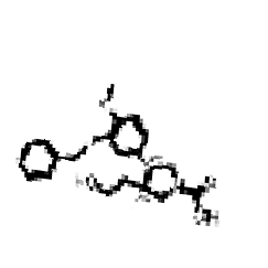 COc1ccc([C@@H]2CN(C(=O)O)C[C@@]2(C)CCO)cc1OCc1ccccc1